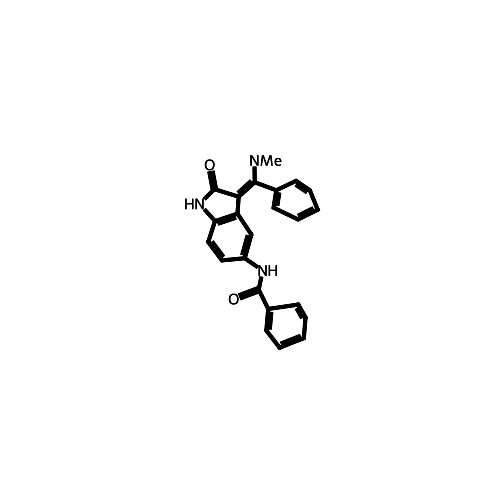 CNC(=C1C(=O)Nc2ccc(NC(=O)c3ccccc3)cc21)c1ccccc1